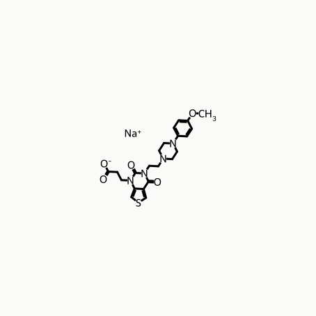 COc1ccc(N2CCN(CCn3c(=O)c4cscc4n(CCC(=O)[O-])c3=O)CC2)cc1.[Na+]